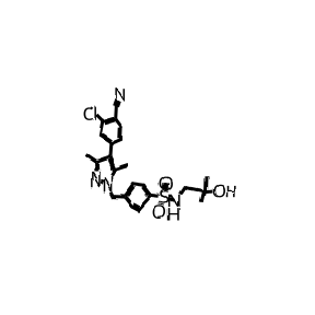 Cc1nn(Cc2ccc(S(=O)(=O)NCC(C)(C)O)cc2)c(C)c1-c1ccc(C#N)c(Cl)c1